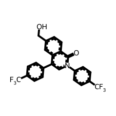 O=c1c2ccc(CO)cc2c(-c2ccc(C(F)(F)F)cc2)cn1-c1ccc(C(F)(F)F)cc1